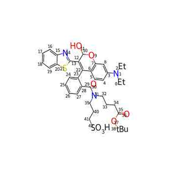 CCN(CC)c1ccc2c(c1)OC(O)C(c1nc3ccccc3s1)=C2c1ccccc1C(=O)N(CCCC(=O)OC(C)(C)C)CCCS(=O)(=O)O